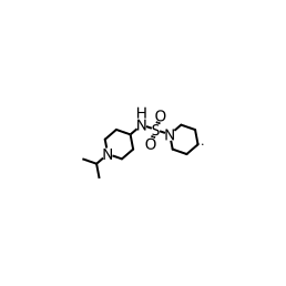 CC(C)N1CCC(NS(=O)(=O)N2CC[CH]CC2)CC1